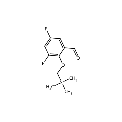 C[Si](C)(C)COc1c(F)cc(F)cc1C=O